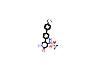 CN(C)S(=O)(=O)NC1CC(=O)NCC1c1ccc(-c2ccc(C#N)cc2)cc1